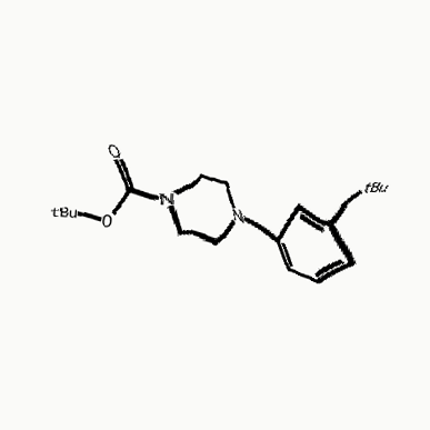 CC(C)(C)OC(=O)N1CCN(c2cccc(C(C)(C)C)c2)CC1